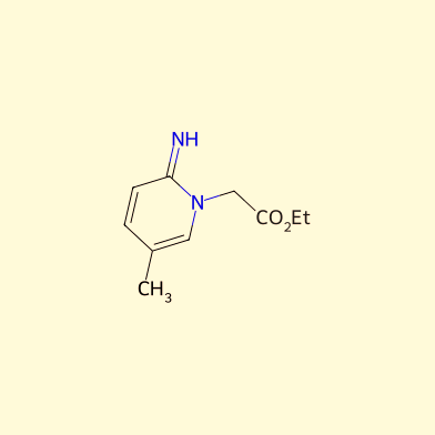 CCOC(=O)Cn1cc(C)ccc1=N